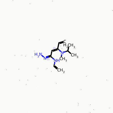 C=CNC(/C=C(/C=C)N(C)C(C)C)=N/N